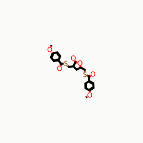 COc1ccc(C(=O)SCC2CC(CSC(=O)c3ccc(OC)cc3)C(=O)O2)cc1